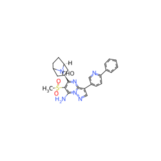 CS(=O)(=O)c1c([C@H]2CC3CC[C@@H](C2)N3C=O)nc2c(-c3ccc(-c4ccccc4)nc3)cnn2c1N